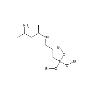 CCO[Si](CCCNC(C)CC(C)N)(OCC)OCC